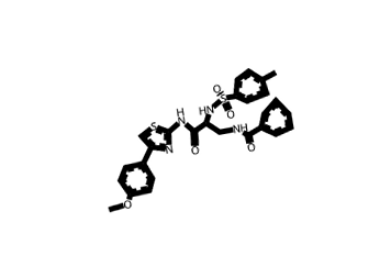 COc1ccc(-c2csc(NC(=O)C(CNC(=O)c3ccccc3)NS(=O)(=O)c3ccc(C)cc3)n2)cc1